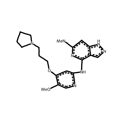 CNc1cc2[nH]ncc2c(Nc2cc(OCCCN3CCCC3)c(OC)cn2)n1